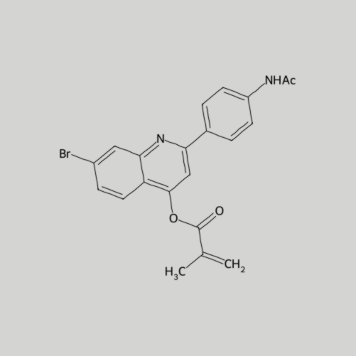 C=C(C)C(=O)Oc1cc(-c2ccc(NC(C)=O)cc2)nc2cc(Br)ccc12